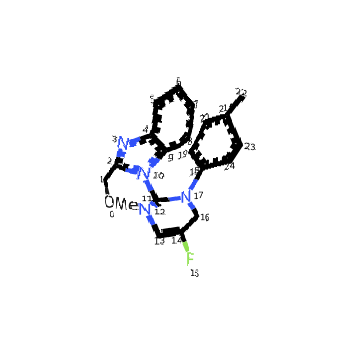 COCc1nc2ccccc2n1C1=NC=C(F)CN1c1ccc(C)cc1